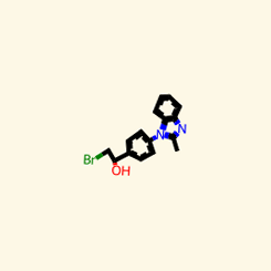 Cc1nc2ccccc2n1-c1ccc(C(O)CBr)cc1